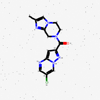 Cc1cn2c(n1)CN(C(=O)c1cc3ncc(Cl)cn3n1)CC2